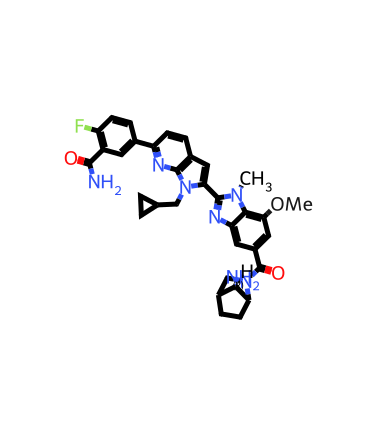 COc1cc(C(=O)N2CC3CCC2[C@@H]3N)cc2nc(-c3cc4ccc(-c5ccc(F)c(C(N)=O)c5)nc4n3CC3CC3)n(C)c12